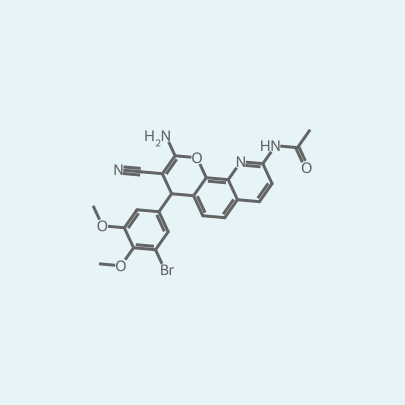 COc1cc(C2C(C#N)=C(N)Oc3c2ccc2ccc(NC(C)=O)nc32)cc(Br)c1OC